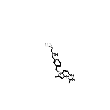 CC1=CC2C(C=Cc3nnc(C)n32)N1Cc1cccc(CNCCO)c1